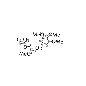 COc1cc(COCC(COCCC(=O)O)OC)cc(OC)c1OC